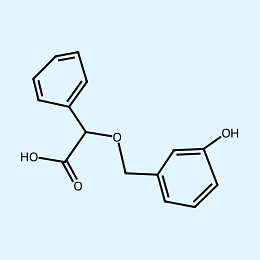 O=C(O)C(OCc1cccc(O)c1)c1ccccc1